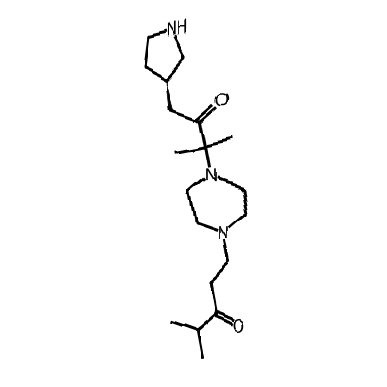 CC(C)C(=O)CCN1CCN(C(C)(C)C(=O)C[C@H]2CCNC2)CC1